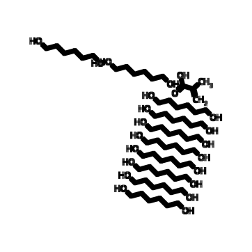 C=C(C)C(=O)O.OCCCCCCO.OCCCCCCO.OCCCCCCO.OCCCCCCO.OCCCCCCO.OCCCCCCO.OCCCCCCO.OCCCCCCO.OCCCCCCO.OCCCCCCO